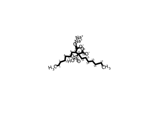 CCCCCCCC(C(=O)[O-])C(CCCCCCC)(C(=O)[O-])S(=O)(=O)O.[Na+].[Na+]